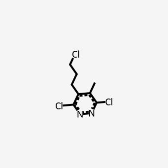 Cc1c(Cl)nnc(Cl)c1CCCCl